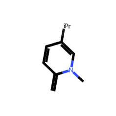 C=C1C=CC(C(C)C)=CN1C